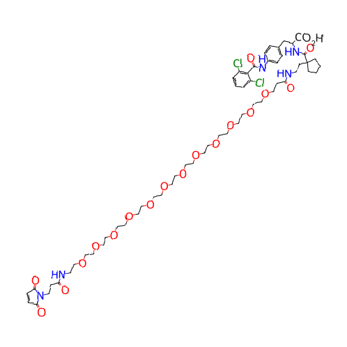 O=C(CCOCCOCCOCCOCCOCCOCCOCCOCCOCCOCCOCCOCCNC(=O)CCN1C(=O)C=CC1=O)NCCC1(C(=O)NC(Cc2ccc(NC(=O)c3c(Cl)cccc3Cl)cc2)C(=O)O)CCCC1